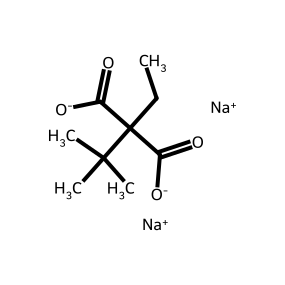 CCC(C(=O)[O-])(C(=O)[O-])C(C)(C)C.[Na+].[Na+]